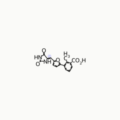 Cc1c(C(=O)O)cccc1-c1ccc(/C=C2\NC(=O)NC2=O)o1